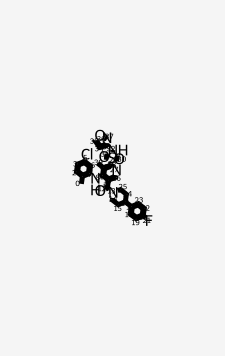 Cc1ccc(Cl)cc1Nc1c(C(=O)N2CCC(c3ccc(F)cc3)CC2)cnc(S(=O)(=O)Nc2ccon2)c1C